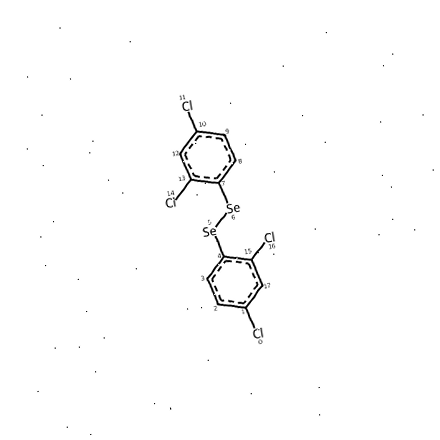 Clc1ccc([Se][Se]c2ccc(Cl)cc2Cl)c(Cl)c1